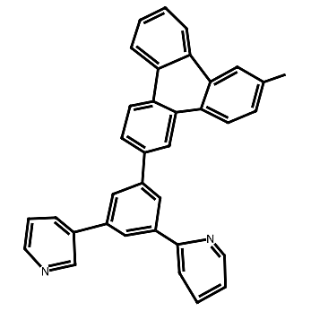 Cc1ccc2c(c1)c1ccccc1c1ccc(-c3cc(-c4cccnc4)cc(-c4ccccn4)c3)cc12